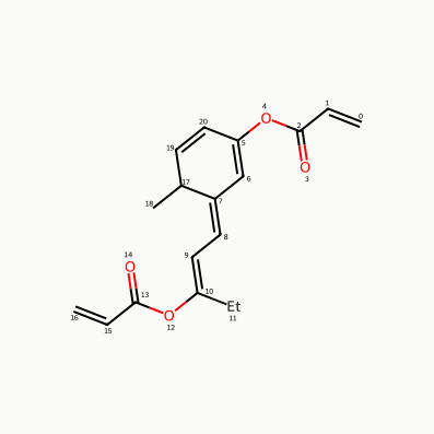 C=CC(=O)OC1=C/C(=C/C=C(\CC)OC(=O)C=C)C(C)C=C1